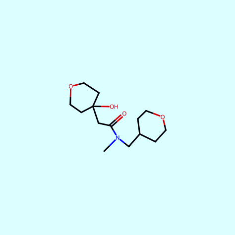 CN(CC1CCOCC1)C(=O)CC1(O)CCOCC1